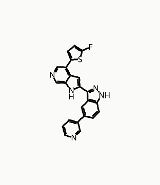 Fc1ccc(-c2cncc3[nH]c(-c4n[nH]c5ccc(-c6cccnc6)cc45)cc23)s1